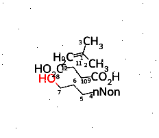 C=C(C)C.CCCCCCCCCCCCO.O=C(O)CCC(=O)O